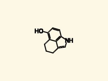 Oc1ccc2[nH]cc3c2c1CCC3